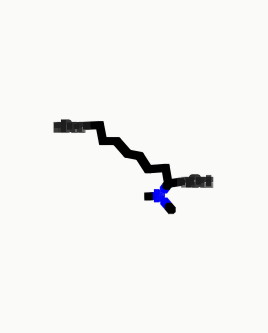 CCCCCCCCCCCCCCCCCC(CCCCCCCC)N(C)C